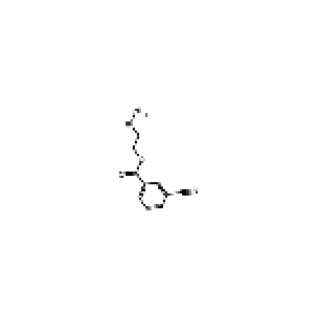 N#Cc1cccc(C(=O)OCCNN)c1